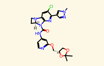 Cn1cc(-c2nc3c(cc2Cl)N2CC[C@@H]2N3C(=O)Nc2ccnc(OC[C@@H]3COC(C)(C)O3)c2)cn1